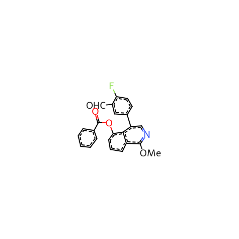 COc1ncc(-c2ccc(F)c(C=O)c2)c2c(OC(=O)c3ccccc3)cccc12